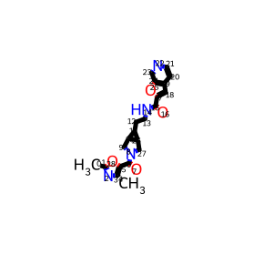 Cc1nc(C)c(C(=O)N2CC3C(CCNC(=O)c4cc5ccncc5o4)C3C2)o1